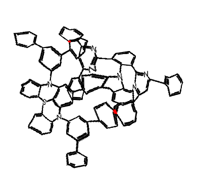 c1ccc(-c2cc(-c3ccccc3)cc(N3c4ccccc4B4c5ccccc5N(c5cc(-c6ccccc6)cc(-c6ccccc6)c5)c5cc(-c6ccc7c(c6)c6ccccc6n7-c6c(-c7nc(-c8ccccc8)cc(-c8ccccc8)n7)cccc6-c6nc(-c7ccccc7)cc(-c7ccccc7)n6)cc3c54)c2)cc1